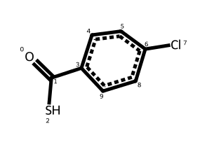 O=C(S)c1ccc(Cl)cc1